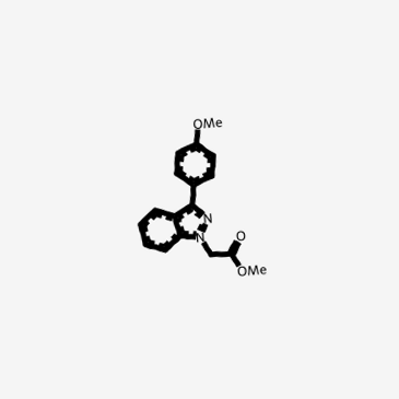 COC(=O)Cn1nc(-c2ccc(OC)cc2)c2ccccc21